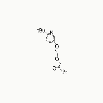 CC(C)C(=O)COCCOc1ccc(C(C)(C)C)nc1